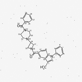 Cc1cn(-c2ccccc2)c2ccc(C(=O)N3CC(N4CCN(C(=O)c5ccccc5)CC4)C3)cc12